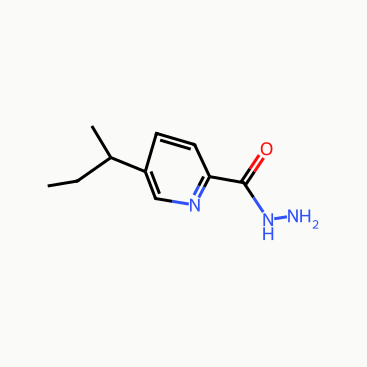 CCC(C)c1ccc(C(=O)NN)nc1